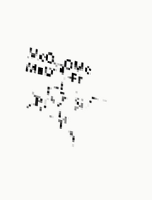 C=CC[Si](C)(C)C1=C(C(CC)[Si](OC)(OC)OC)C[C]([Pt]([CH3])([CH3])[CH3])=C1[Si](C)(C)CC=C